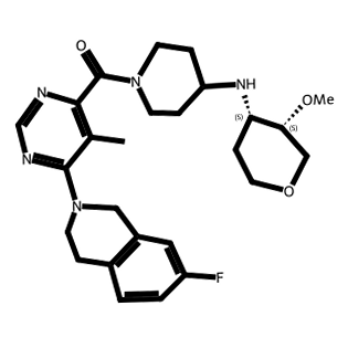 CO[C@@H]1COCC[C@@H]1NC1CCN(C(=O)c2ncnc(N3CCc4ccc(F)cc4C3)c2C)CC1